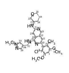 COc1cc(OC)c(Cl)c(-c2cc3cnc(N[C@H]4CCCOC4)cc3c(NCc3cnn(C)c3)n2)c1C